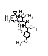 C=N/C(NC1(C)CC1)=C(\C)C(C(=O)NC(C)c1ccc(OC)cc1)=C(C)C